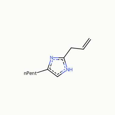 C=CCc1nc(CCCCC)c[nH]1